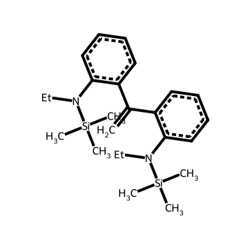 C=C(c1ccccc1N(CC)[Si](C)(C)C)c1ccccc1N(CC)[Si](C)(C)C